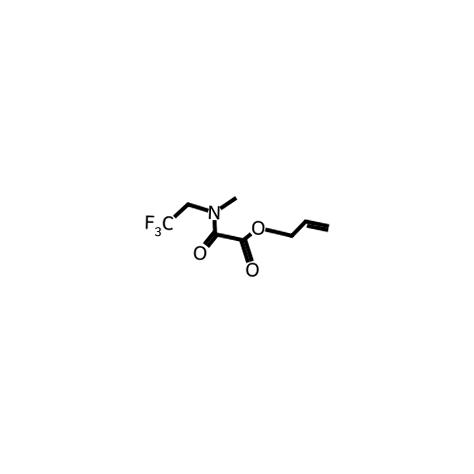 C=CCOC(=O)C(=O)N(C)CC(F)(F)F